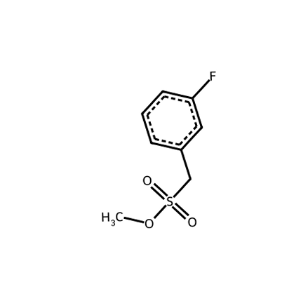 COS(=O)(=O)Cc1cccc(F)c1